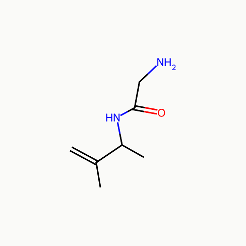 C=C(C)C(C)NC(=O)CN